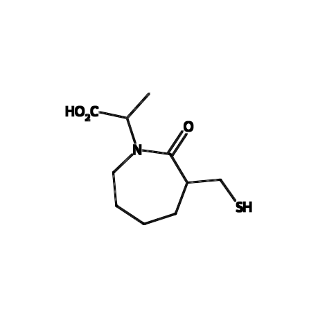 CC(C(=O)O)N1CCCCC(CS)C1=O